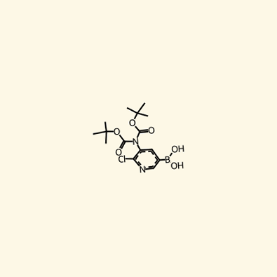 CC(C)(C)OC(=O)N(C(=O)OC(C)(C)C)c1cc(B(O)O)cnc1Cl